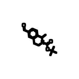 CC1c2ccc(C=O)cc2CCN1C(=O)OC(C)(C)C